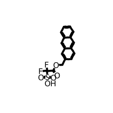 O=C(OCc1ccc2cc3ccccc3cc2c1)C(F)(F)S(=O)(=O)O